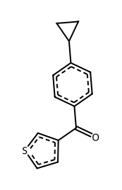 O=C(c1ccc(C2CC2)cc1)c1ccsc1